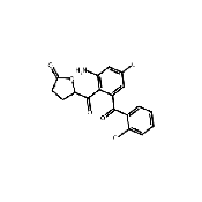 Nc1cc(Cl)cc(C(=O)c2ccccc2Cl)c1C(=O)C1CCC(=O)O1